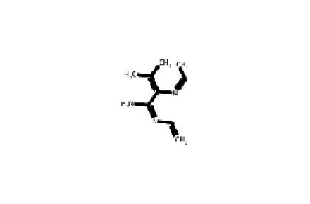 C=C/N=C(/N)C(/N=C\C)=C(C)C